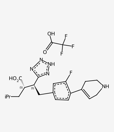 CC(C)C[C@H](C(=O)O)[C@H](Cc1ccc(C2=CCNCC2)c(F)c1)c1nn[nH]n1.O=C(O)C(F)(F)F